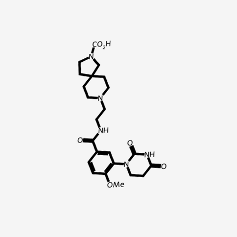 COc1ccc(C(=O)NCCN2CCC3(CC2)CCN(C(=O)O)C3)cc1N1CCC(=O)NC1=O